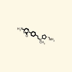 CN(CCc1ccc(-n2ccc(N)nc2=O)cc1)[C@@H]1CC[C@H](CN)C1